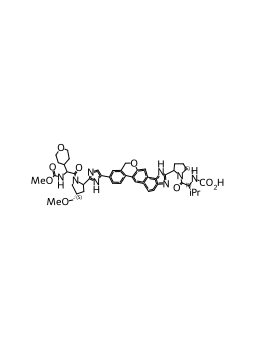 COC[C@H]1CC(c2ncc(-c3ccc4c(c3)COc3cc5c(ccc6nc(C7CC[C@H](C)N7C(=O)[C@@H](NC(=O)O)C(C)C)[nH]c65)cc3-4)[nH]2)N(C(=O)C(NC(=O)OC)C2CCOCC2)C1